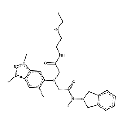 CCNCCNC(=O)CN(CC(=O)N(C)N1Cc2ccccc2C1)c1cc2c(cc1C)c(C)nn2C